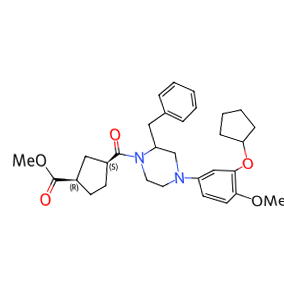 COC(=O)[C@@H]1CC[C@H](C(=O)N2CCN(c3ccc(OC)c(OC4CCCC4)c3)CC2Cc2ccccc2)C1